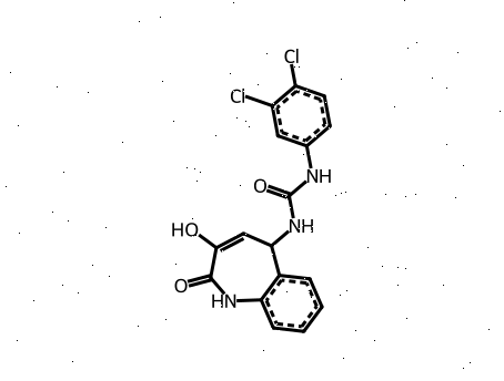 O=C(Nc1ccc(Cl)c(Cl)c1)NC1C=C(O)C(=O)Nc2ccccc21